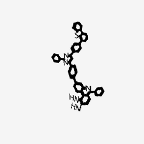 N=C1C=Cc2c(-c3ccccc3)nc3cc(-c4ccc(-c5cc(-c6ccc(-c7cccc8c7SC7C=CC=CC87)cc6)nc(-c6ccccc6)n5)cc4)ccc3c2C1=N